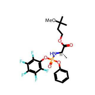 COC(C)(C)CCOC(=O)[C@H](C)NP(=O)(Oc1ccccc1)Oc1c(F)c(F)c(F)c(F)c1F